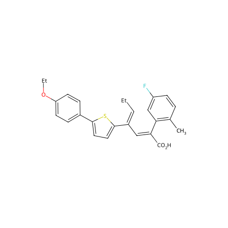 CC/C=C(/C=C(/C(=O)O)c1cc(F)ccc1C)c1ccc(-c2ccc(OCC)cc2)s1